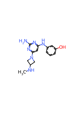 CNC1CN(c2cc(Nc3cccc(O)c3)nc(N)n2)C1